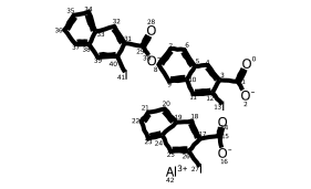 O=C([O-])c1cc2ccccc2cc1I.O=C([O-])c1cc2ccccc2cc1I.O=C([O-])c1cc2ccccc2cc1I.[Al+3]